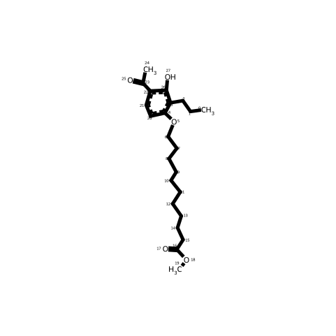 CCCc1c(OCCCCCCCCCCC(=O)OC)ccc(C(C)=O)c1O